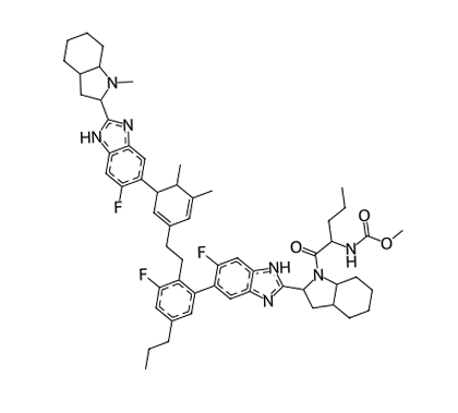 CCCc1cc(F)c(CCC2=CC(c3cc4nc(C5CC6CCCCC6N5C)[nH]c4cc3F)C(C)C(C)=C2)c(-c2cc3nc(C4CC5CCCCC5N4C(=O)C(CCC)NC(=O)OC)[nH]c3cc2F)c1